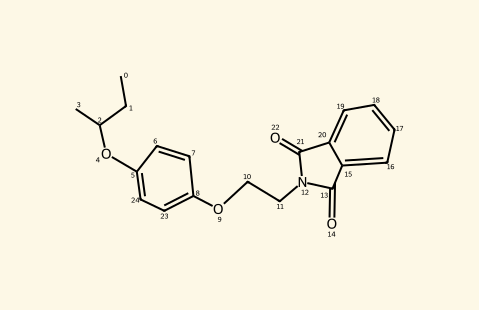 CCC(C)Oc1ccc(OCCN2C(=O)c3ccccc3C2=O)cc1